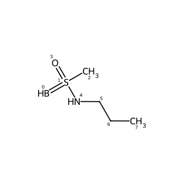 B=S(C)(=O)NCCC